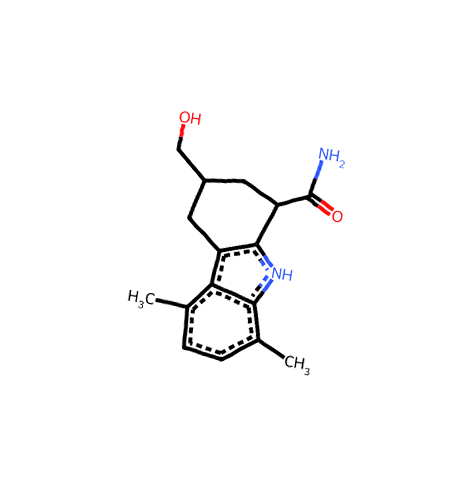 Cc1ccc(C)c2c3c([nH]c12)C(C(N)=O)CC(CO)C3